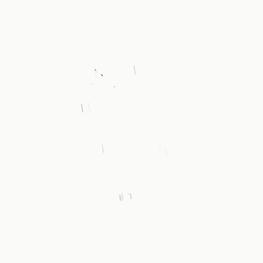 CC(C)C(=O)CC(C)(C)OCCC(C)(C)N